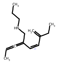 C=C(/C=C\C(=C=CC)CNCCC)CC